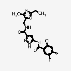 CCc1nc(C)c(CNC(=O)c2cc(NC(=O)c3cc(F)c(F)cc3Cl)[nH]n2)o1